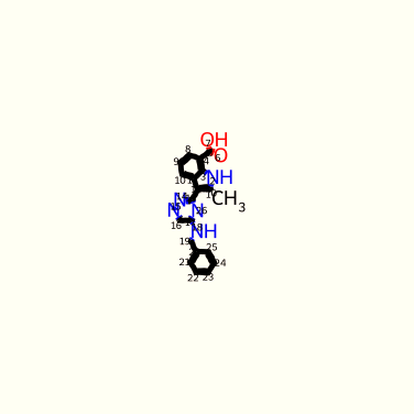 Cc1[nH]c2c(C(=O)O)cccc2c1-c1nncc(NCc2ccccc2)n1